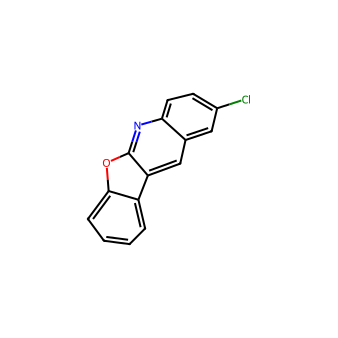 Clc1ccc2nc3oc4ccccc4c3cc2c1